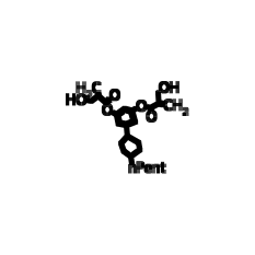 C=C(CO)C(=O)Oc1cc(OC(=O)C(=C)CO)cc(C2CCC(CCCCC)CC2)c1